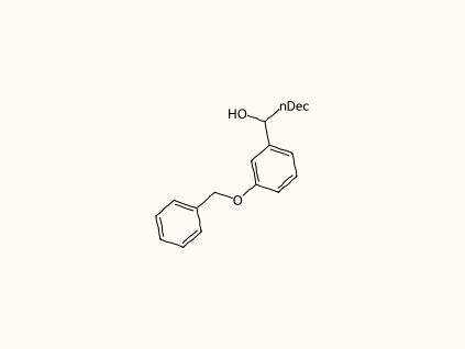 CCCCCCCCCCC(O)c1cccc(OCc2ccccc2)c1